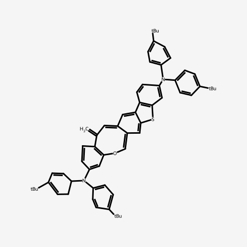 C=C1/C=c2/cc3c(c/c2=C/Oc2cc(N(c4ccc(C(C)(C)C)cc4)C4C=CC(C(C)(C)C)=CC4)ccc21)sc1cc(N(c2ccc(C(C)(C)C)cc2)c2ccc(C(C)(C)C)cc2)ccc13